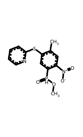 CO[PH](=O)c1cc(Sc2ccccn2)c(C)cc1[N+](=O)[O-]